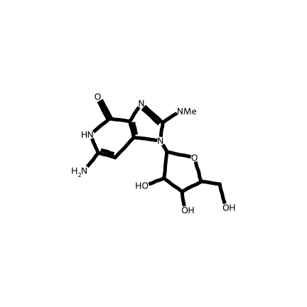 CNc1nc2c(=O)[nH]c(N)cc2n1C1OC(CO)C(O)C1O